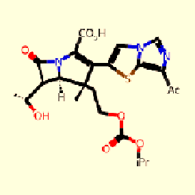 CC(=O)c1ncn2cc(C3=C(C(=O)O)N4C(=O)[C@H]([C@@H](C)O)[C@@H]4[C@@]3(C)CCOC(=O)OC(C)C)sc12